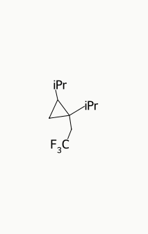 CC(C)C1CC1(CC(F)(F)F)C(C)C